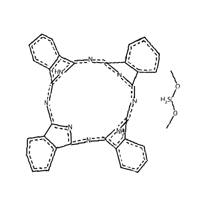 CO[SiH2]OC.c1ccc2c(c1)-c1nc-2nc2[nH]c(nc3nc(nc4[nH]c(n1)c1ccccc41)-c1ccccc1-3)c1ccccc21